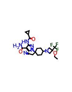 CCOC1(C(F)(F)F)CN(C2CCC(CC#N)(n3cc(C(N)=O)c(NC(=O)C4CC4)n3)CC2)C1